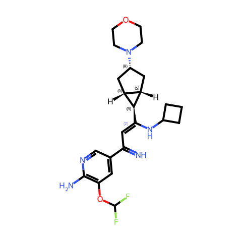 N=C(/C=C(\NC1CCC1)[C@H]1[C@@H]2C[C@H](N3CCOCC3)C[C@@H]21)c1cnc(N)c(OC(F)F)c1